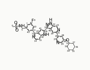 CS(=O)(=O)NCc1cc(F)cc(-c2nccc3[nH]c(-c4n[nH]c5cnc(-c6cncc(OC7CCCCC7)c6)cc45)cc23)c1